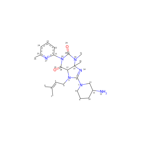 CC(C)=CCN1C(N2CCCC(N)C2)=NC2(C)C1C(=O)N(c1cccc(C)n1)C(=O)N2C